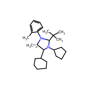 Cc1ccccc1N1C(C(C)(C)C)N(C2CCCC2)C(C2CCCCC2)[C@@H]1C